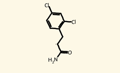 NC(=O)[CH]Cc1ccc(Cl)cc1Cl